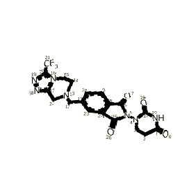 O=C1CCN(N2C(=O)c3ccc(CN4CCn5c(nnc5C(F)(F)F)C4)cc3C2=O)C(=O)N1